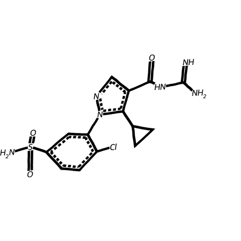 N=C(N)NC(=O)c1cnn(-c2cc(S(N)(=O)=O)ccc2Cl)c1C1CC1